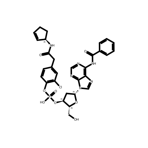 O=C(Cc1ccc(OP(=O)(O)O[C@H]2C[C@H](n3cnc4c(NC(=O)c5ccccc5)ncnc43)O[C@@H]2CO)c(Cl)c1)N[C@H]1C=CCC1